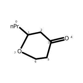 CCCC1CC(=O)CCO1